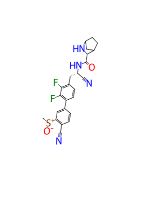 C[S+]([O-])c1cc(-c2ccc(C[C@@H](C#N)NC(=O)C3NC4CCC3C4)c(F)c2F)ccc1C#N